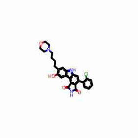 O=C1NC(=O)c2c1c(-c1ccccc1Cl)cc1[nH]c3cc(CCCCN4CCOCC4)c(O)cc3c21